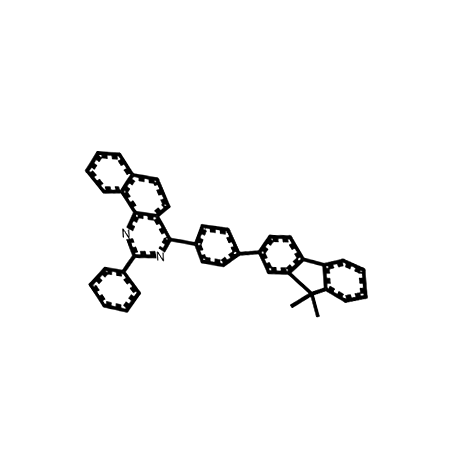 CC1(C)c2ccccc2-c2ccc(-c3ccc(-c4nc(-c5ccccc5)nc5c4ccc4ccccc45)cc3)cc21